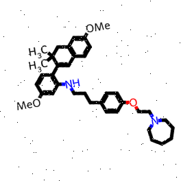 COc1ccc2c(c1)CC(C)(C)C(c1ccc(OC)cc1NCCCc1ccc(OCCN3CCCCCC3)cc1)=C2